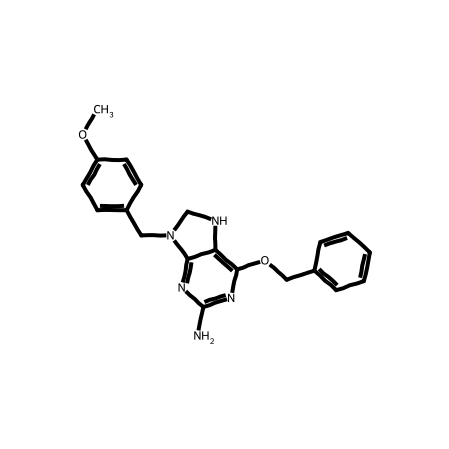 COc1ccc(CN2CNc3c(OCc4ccccc4)nc(N)nc32)cc1